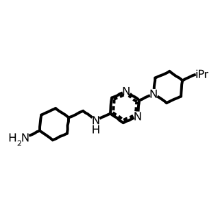 CC(C)C1CCN(c2ncc(NCC3CCC(N)CC3)cn2)CC1